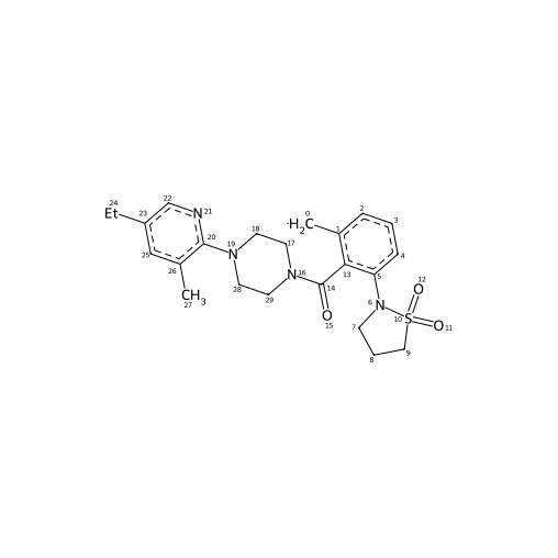 [CH2]c1cccc(N2CCCS2(=O)=O)c1C(=O)N1CCN(c2ncc(CC)cc2C)CC1